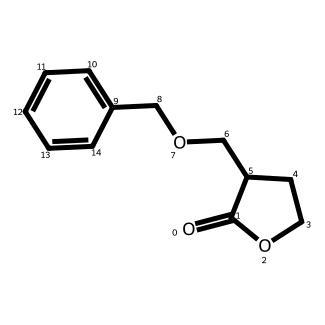 O=C1OCCC1COCc1ccccc1